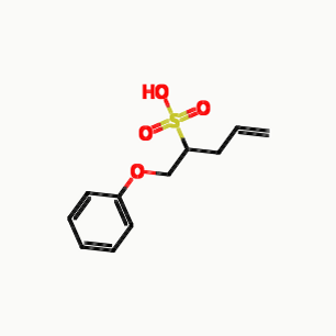 C=CCC(COc1ccccc1)S(=O)(=O)O